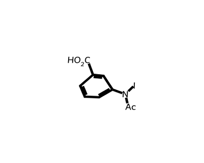 CC(=O)N(I)c1cccc(C(=O)O)c1